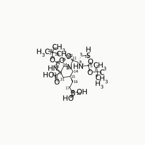 CC(C)(C)OC(=O)N[C@@H](CS)C(=O)N1C[C@@H](CCB(O)O)C[C@](NC(=O)OC(C)(C)C)(C(=O)O)C1